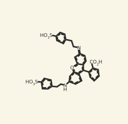 O=C(O)c1ccccc1-c1c2cc/c(=N/CCc3ccc(S(=O)(=O)O)cc3)cc-2oc2cc(NCCc3ccc(S(=O)(=O)O)cc3)ccc12